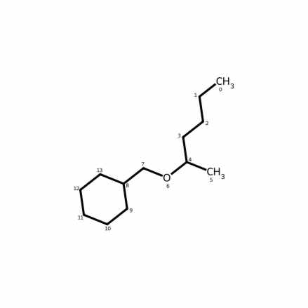 CCCCC(C)OCC1CCCCC1